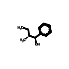 CC[C@@H](C)[C@H](O)c1ccccc1